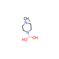 CN1CCN(B(O)O)CC1